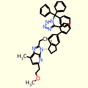 CCc1nc2c(C)cc(CCOC)nc2n1[C@H]1CCc2cc(-c3ccccc3-c3nnnn3C(c3ccccc3)(c3ccccc3)c3ccccc3)ccc21